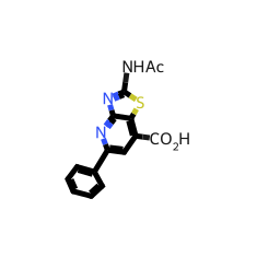 CC(=O)Nc1nc2nc(-c3ccccc3)cc(C(=O)O)c2s1